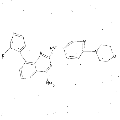 Nc1nc(Nc2ccc(N3CCOCC3)nc2)nc2c(-c3ccccc3F)cccc12